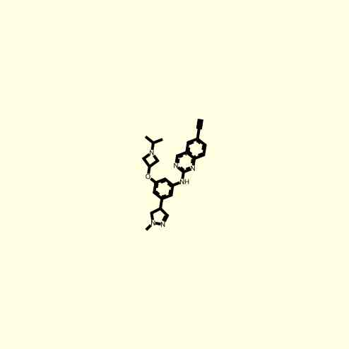 C#Cc1ccc2nc(Nc3cc(OC4CN(C(C)C)C4)cc(C4C=NN(C)C4)c3)ncc2c1